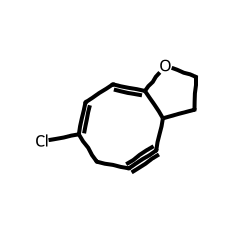 Cl/C1=C/C=C2/OCCC2C#CC1